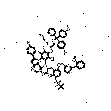 C=CCOC[C@H](COC(c1ccccc1)(c1ccc(OC)cc1)c1ccc(OC)cc1)Oc1c(Cl)c(C)c(-n2c(-c3ccc(F)cc3)cc3ncnc(OC(Cc4cc(O[Si](C)(C)C(C)(C)C)ccc4OCc4ccnc(-c5ccccc5OC)n4)C(=O)O)c32)c(C)c1Cl